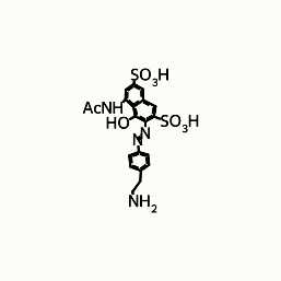 CC(=O)Nc1cc(S(=O)(=O)O)cc2cc(S(=O)(=O)O)c(N=Nc3ccc(CCN)cc3)c(O)c12